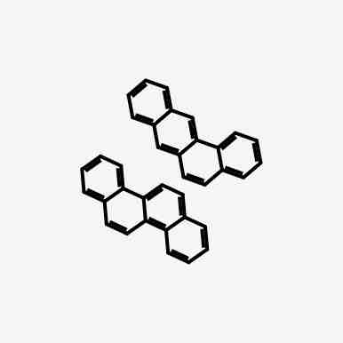 c1ccc2c(c1)ccc1c3ccccc3ccc21.c1ccc2cc3c(ccc4ccccc43)cc2c1